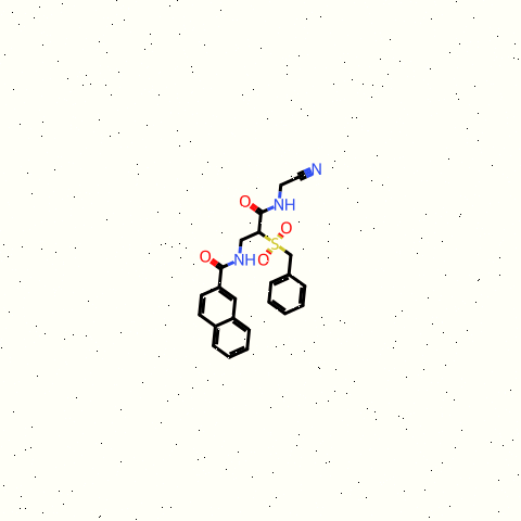 N#CCNC(=O)C(CNC(=O)c1ccc2ccccc2c1)S(=O)(=O)Cc1ccccc1